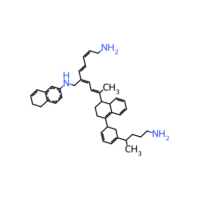 C\C(=C/C=C(/C=C/C=C\CN)CNc1ccc2c(c1)C=CCC2)C1CCC(C2C=CC=C(C(C)CCCN)C2)=C2C=CC=CC21